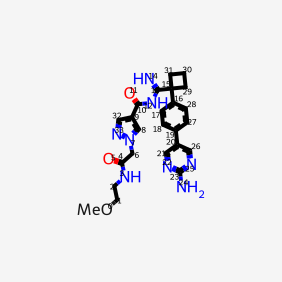 COCCNC(=O)Cn1cc(C(=O)NC(=N)C2(c3ccc(-c4cnc(N)nc4)cc3)CCC2)cn1